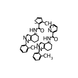 Cc1ccccc1-n1ncc2c1CCC[C@H]2NC(=O)c1ccccn1.Cc1ccccc1-n1ncc2c1CCC[C@H]2NC(=O)c1sccc1C